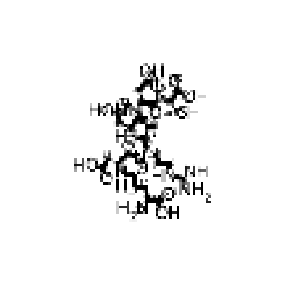 N=C(N)NCCC[C@H](NC(=O)[C@H](CC(=O)O)NC(=O)CC[C@H](N)C(=O)O)C(=O)N[C@@H](CC(=O)O)C(=O)N[C@@H](CC(=O)O)C(=O)N[C@@H](CS)C(=O)O